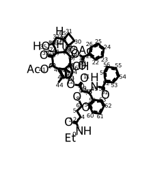 CCNC(=O)CCC(=O)O[C@@H](C(=O)O[C@H]1C[C@@]2(O)[C@@H](OC(=O)c3ccccc3)[C@@H]3[C@]4(OC(C)=O)CC[C@@H]4C[C@H](O)[C@@]3(C)C(=O)[C@H](OC(C)=O)C(=C1C)C2(C)C)[C@@H](NC(=O)c1ccccc1)c1ccccc1